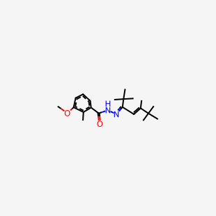 COc1cccc(C(=O)NN=C(/C=C(\C)C(C)(C)C)C(C)(C)C)c1C